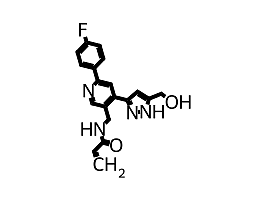 C=CC(=O)NCc1cnc(-c2ccc(F)cc2)cc1-c1cc(CO)[nH]n1